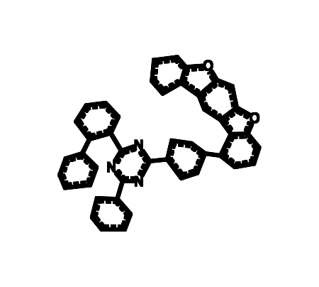 c1ccc(-c2nc(-c3ccc(-c4cccc5oc6cc7oc8ccccc8c7cc6c45)cc3)nc(-c3ccccc3-c3ccccc3)n2)cc1